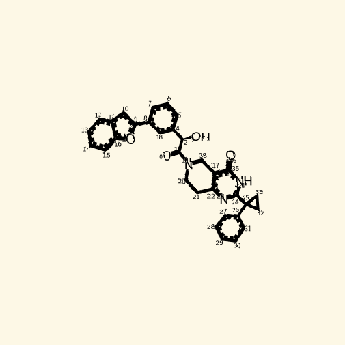 O=C([C@H](O)c1cccc(-c2cc3ccccc3o2)c1)N1CCc2nc(C3(c4ccccc4)CC3)[nH]c(=O)c2C1